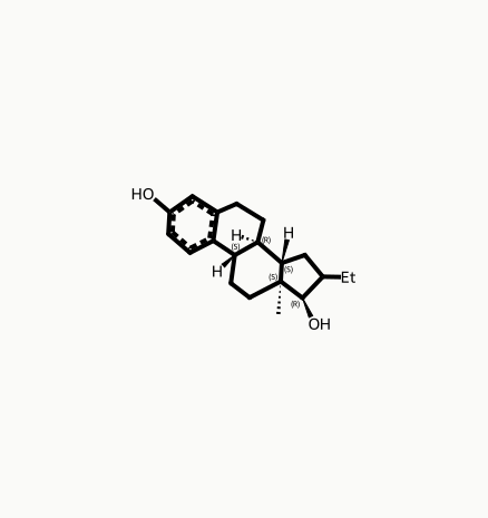 CCC1C[C@H]2[C@@H]3CCc4cc(O)ccc4[C@H]3CC[C@]2(C)[C@@H]1O